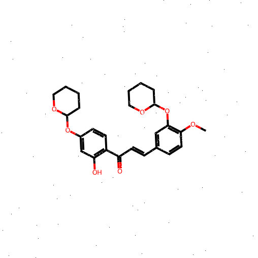 COc1ccc(C=CC(=O)c2ccc(OC3CCCCO3)cc2O)cc1OC1CCCCO1